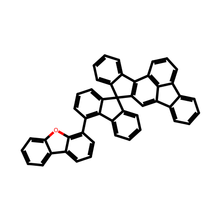 c1ccc2c(c1)-c1cccc3c4c(cc-2c13)C1(c2ccccc2-c2c(-c3cccc5c3oc3ccccc35)cccc21)c1ccccc1-4